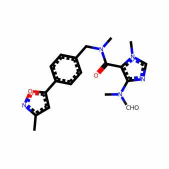 Cc1cc(-c2ccc(CN(C)C(=O)c3c(N(C)C=O)ncn3C)cc2)on1